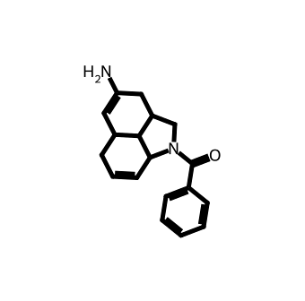 NC1=CC2CC=CC3C2C(C1)CN3C(=O)c1ccccc1